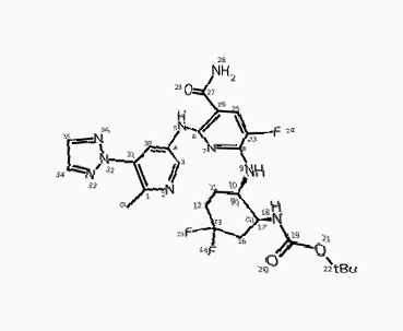 Cc1ncc(Nc2nc(N[C@@H]3CCC(F)(F)C[C@@H]3NC(=O)OC(C)(C)C)c(F)cc2C(N)=O)cc1-n1nccn1